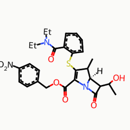 CCN(CC)C(=O)c1ccccc1SC1=C(C(=O)OCc2ccc([N+](=O)[O-])cc2)N2C(=O)C(C(C)O)[C@@H]2C1C